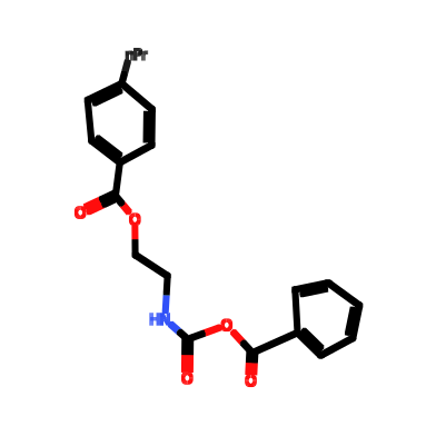 CCCc1ccc(C(=O)OCCNC(=O)OC(=O)c2ccccc2)cc1